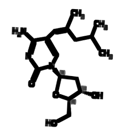 CC(=Cc1cn([C@H]2C[C@H](O)[C@@H](CO)O2)c(=O)nc1N)CC(C)C